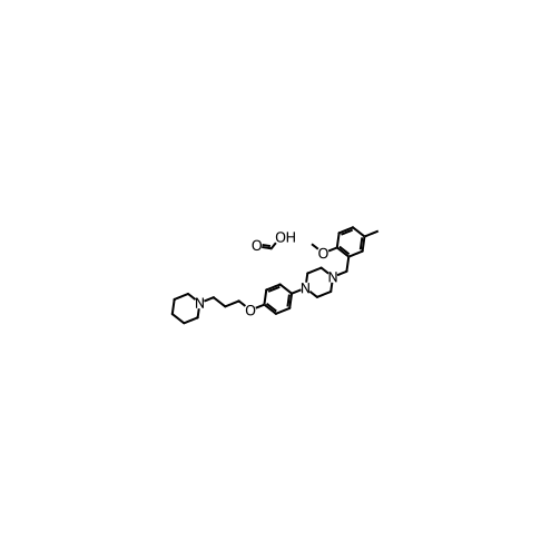 COc1ccc(C)cc1CN1CCN(c2ccc(OCCCN3CCCCC3)cc2)CC1.O=CO